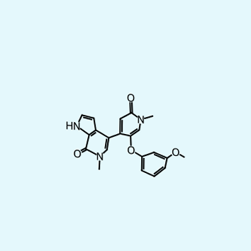 COc1cccc(Oc2cn(C)c(=O)cc2-c2cn(C)c(=O)c3[nH]ccc23)c1